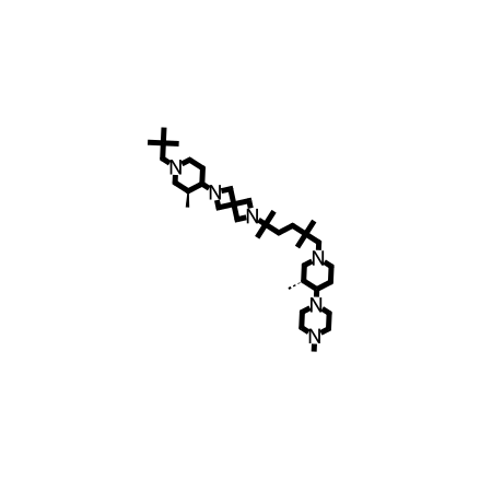 C[C@@H]1CN(CC(C)(C)CCC(C)(C)N2CC3(CN(C4CCN(CC(C)(C)C)C[C@@H]4C)C3)C2)CCC1N1CCN(C)CC1